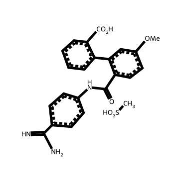 COc1ccc(C(=O)Nc2ccc(C(=N)N)cc2)c(-c2ccccc2C(=O)O)c1.CS(=O)(=O)O